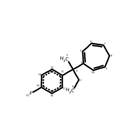 CCC(C)(C1=CC=CCC=C1)c1ccc(F)cc1